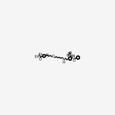 CCN(CC)C(=O)c1ccc(OCCCOCCCCCCNCCc2ccc(OC(=O)c3ccccc3)c(NS(C)(=O)=O)c2)cc1